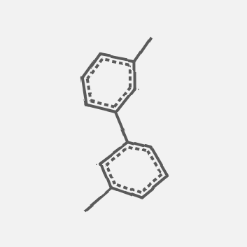 Cc1[c]c(-c2[c]c(C)ccc2)ccc1